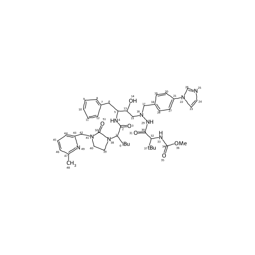 CCC(C)C(C(=O)NC(Cc1ccccc1)C(O)CN(Cc1ccc(-n2ccnc2)cc1)NC(=O)C(NC(=O)OC)C(C)(C)C)N1CCN(Cc2cccc(C)n2)C1=O